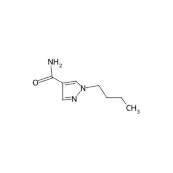 CCCCn1cc(C(N)=O)cn1